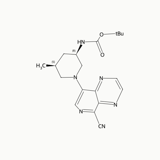 C[C@H]1C[C@@H](NC(=O)OC(C)(C)C)CN(c2cnc(C#N)c3nccnc23)C1